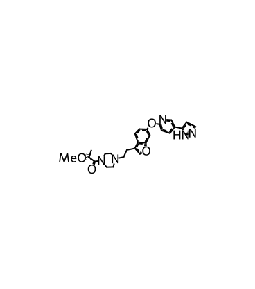 CO[C@H](C)C(=O)N1CCN(CCc2coc3cc(Oc4ccc(-c5ccn[nH]5)cn4)ccc23)CC1